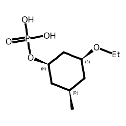 CCO[C@H]1C[C@@H](C)C[C@@H](OP(=O)(O)O)C1